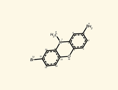 Bc1ccc2c(c1)N(C)c1cc(Br)ccc1O2